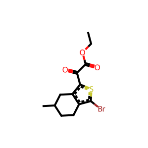 CCOC(=O)C(=O)c1sc(Br)c2c1CC(C)CC2